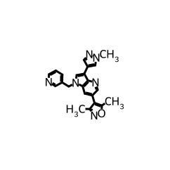 Cc1noc(C)c1-c1cnc2c(-c3cnn(C)c3)cn(Cc3cccnc3)c2c1